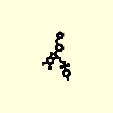 Cc1ccc(S(=O)(=O)OCCn2c(-c3cncc(Cn4ccnc4)c3)nc3cc(F)c(Cl)cc32)cc1